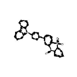 O=C1c2ccccc2S(=O)(=O)c2ccc(-c3ccc(-n4c5ccccc5c5ccccc54)cc3)cc21